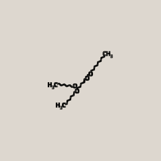 CCCCCCCCCOCOC=CCCC(OCCCCCCC)OCCCCCCC